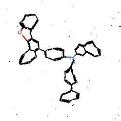 c1ccc(-c2ccc(N(c3ccc(-c4cc5c6ccccc6oc5c5ccccc45)cc3)c3ccc4ccccc4c3)cc2)cc1